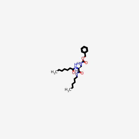 CCCCCCNC(=O)[C@H](CNC(=O)OCc1ccccc1)NC(=O)CCCCCC